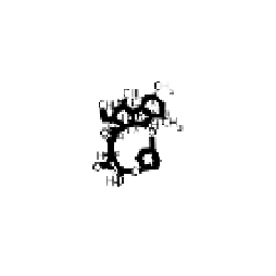 C=C[C@@]1(C)C=C(C)[C@@H]2[C@H]3C1[C@H]1OC1[C@@H]1C[C@](O)(Cc4ccc(cc4)O[C@@H]3[C@@H]3[C@@H](C)C[C@@H](C)C[C@]32C)NC1=O